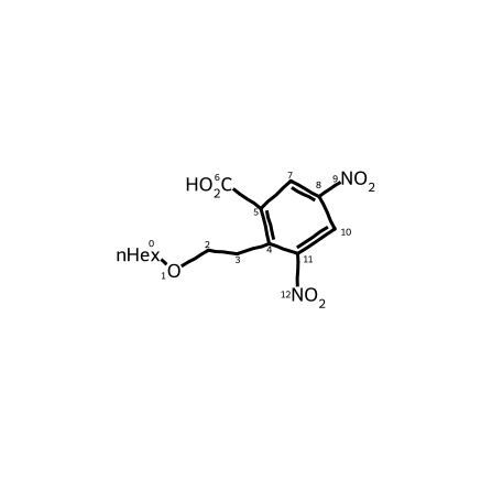 CCCCCCOCCc1c(C(=O)O)cc([N+](=O)[O-])cc1[N+](=O)[O-]